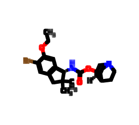 CCOc1cc2c(cc1Br)CC(C)(C)[C@H]2NC(=O)O[C@H]1CN2CCC1CC2